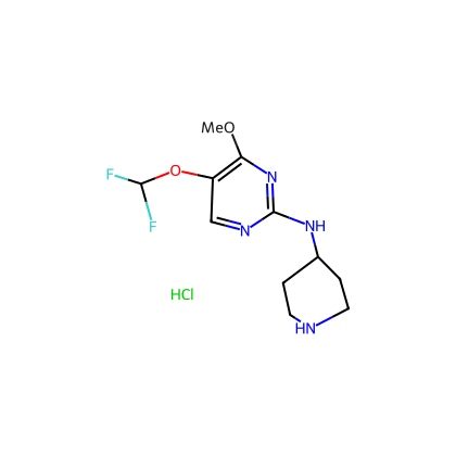 COc1nc(NC2CCNCC2)ncc1OC(F)F.Cl